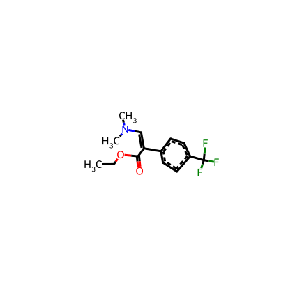 CCOC(=O)C(=CN(C)C)c1ccc(C(F)(F)F)cc1